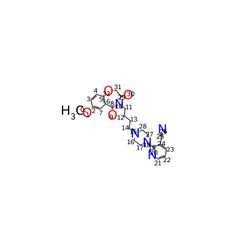 COc1ccc2c(c1)C(=O)N(CCCCN1CCN(c3ncccc3C#N)CC1)C(=O)CO2